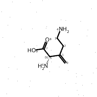 C=C(CCN)[C@H](N)C(=O)O